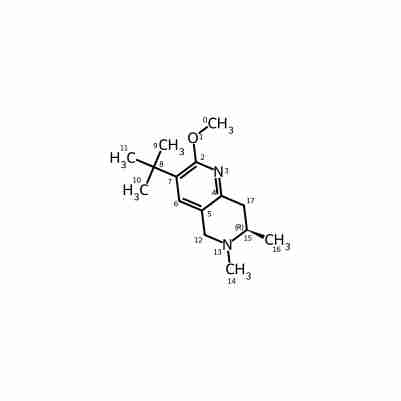 COc1nc2c(cc1C(C)(C)C)CN(C)[C@H](C)C2